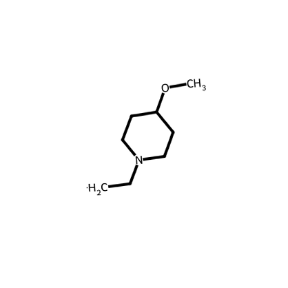 [CH2]CN1CCC(OC)CC1